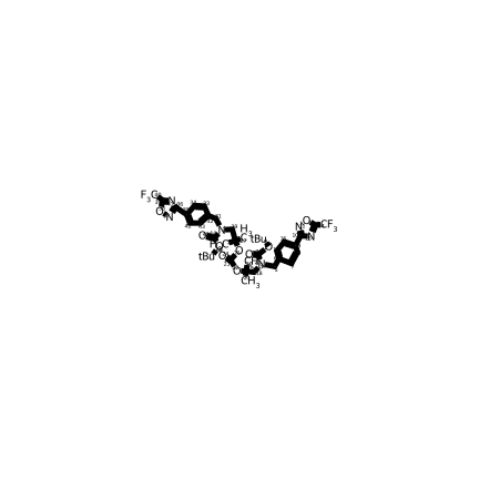 CC(C)(C)OC(=O)N(Cc1ccc(-c2noc(C(F)(F)F)n2)cc1)CC(C)(C)OC(=O)OC(C)(C)CN(Cc1ccc(-c2noc(C(F)(F)F)n2)cc1)C(=O)OC(C)(C)C